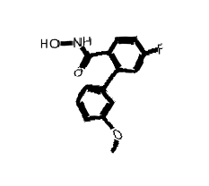 COc1cccc(-c2cc(F)ccc2C(=O)NO)c1